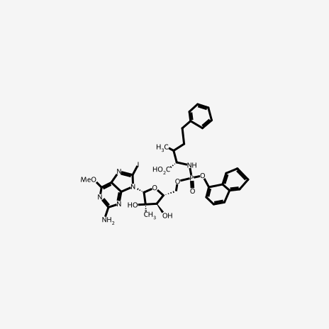 COc1nc(N)nc2c1nc(I)n2[C@@H]1O[C@H](COP(=O)(N[C@H](C(=O)O)C(C)CCc2ccccc2)Oc2cccc3ccccc23)[C@@H](O)[C@@]1(C)O